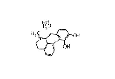 CN1CCc2cccc3c2C1Cc1ccc(O)c(O)c1-3.Cl.O